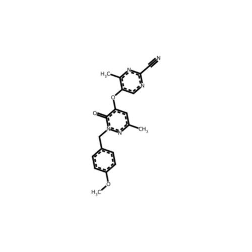 COc1ccc(Cn2nc(C)cc(Oc3cnc(C#N)nc3C)c2=O)cc1